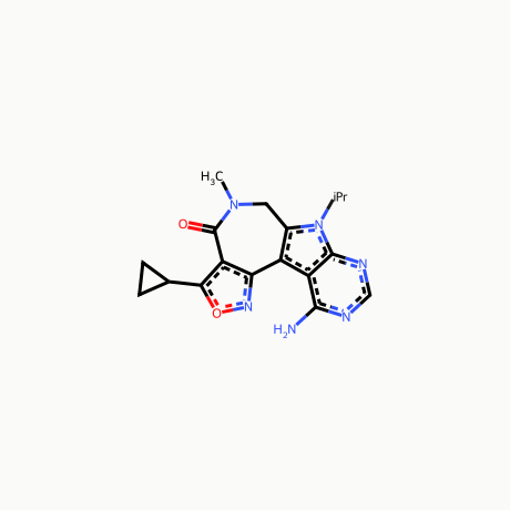 CC(C)n1c2c(c3c(N)ncnc31)-c1noc(C3CC3)c1C(=O)N(C)C2